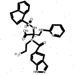 CCCN(C(=O)c1ccc2[nH]ncc2c1)[C@@](CNc1ccccn1)(NS(=O)(=O)c1cccc2ccccc12)C(=O)O